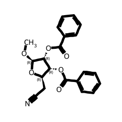 CO[C@@H]1O[C@H](CC#N)[C@@H](OC(=O)c2ccccc2)[C@H]1OC(=O)c1ccccc1